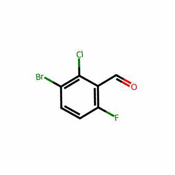 O=Cc1c(F)ccc(Br)c1Cl